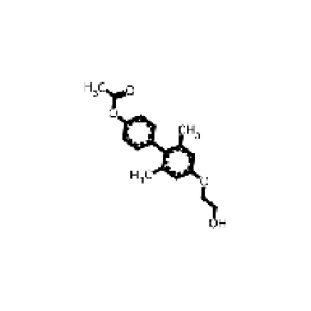 CC(=O)Oc1ccc(-c2c(C)cc(OCCO)cc2C)cc1